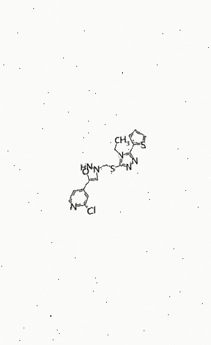 CCn1c(SCN2C=C(c3ccnc(Cl)c3)ON2)nnc1-c1cccs1